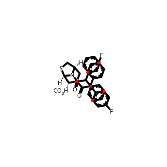 O=C(O)[C@@H]1[C@H]2SC[C@@H](CN1C(=O)C(c1ccc(F)cc1)c1ccc(F)cc1)N2C(=O)C(c1ccccc1)c1ccccc1